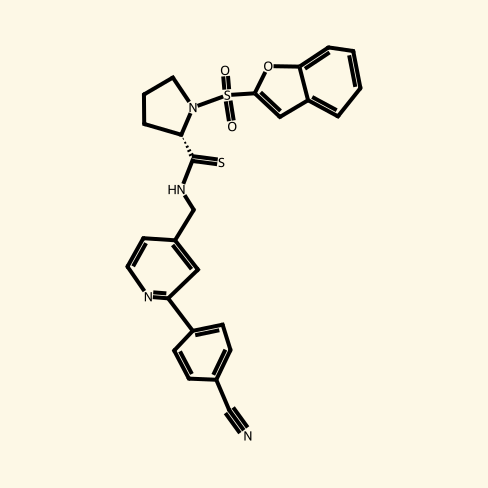 N#Cc1ccc(-c2cc(CNC(=S)[C@@H]3CCCN3S(=O)(=O)c3cc4ccccc4o3)ccn2)cc1